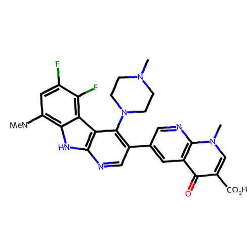 CNc1cc(F)c(F)c2c1[nH]c1ncc(-c3cnc4c(c3)c(=O)c(C(=O)O)cn4C)c(N3CCN(C)CC3)c12